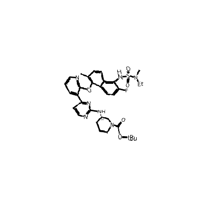 CCN(C)S(=O)(=O)Nc1c(F)ccc2c(Oc3ncccc3-c3ccnc(N[C@H]4CCCN(C(=O)OC(C)(C)C)C4)n3)c(C)ccc12